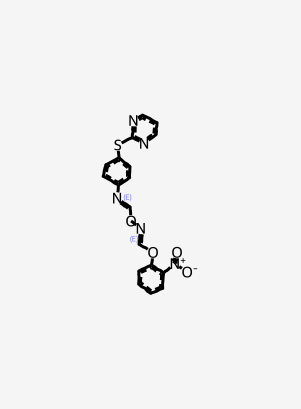 O=[N+]([O-])c1ccccc1O/C=N/O/C=N/c1ccc(Sc2ncccn2)cc1